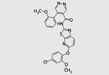 COc1cc(Cl)ccc1Oc1ccc2nc(NC(=O)c3cnncc3-c3ccccc3OC)sc2n1